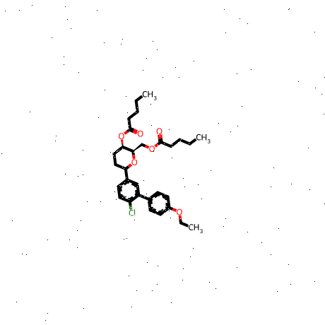 CCCCC(=O)OC[C@H]1OC(c2ccc(Cl)c(-c3ccc(OCC)cc3)c2)CC[C@H]1OC(=O)CCCC